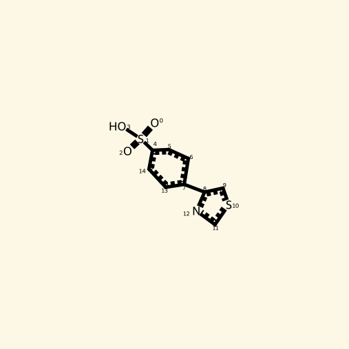 O=S(=O)(O)c1ccc(-c2cscn2)cc1